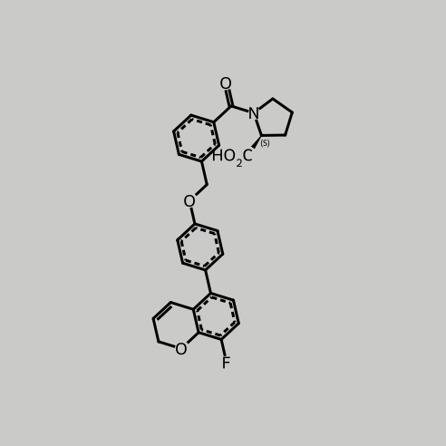 O=C(O)[C@@H]1CCCN1C(=O)c1cccc(COc2ccc(-c3ccc(F)c4c3C=CCO4)cc2)c1